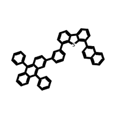 c1ccc(-c2c3ccccc3c(-c3ccccc3)c3cc(-c4cccc(-c5cccc6c5sc5c(-c7ccc8ccccc8c7)cccc56)c4)ccc23)cc1